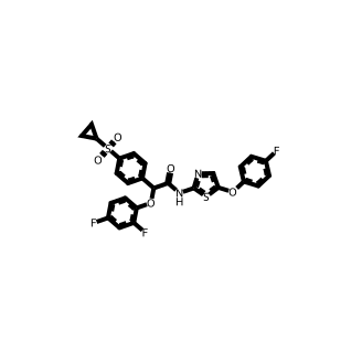 O=C(Nc1ncc(Oc2ccc(F)cc2)s1)C(Oc1ccc(F)cc1F)c1ccc(S(=O)(=O)C2CC2)cc1